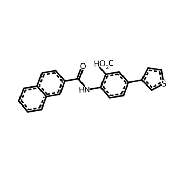 O=C(Nc1ccc(-c2ccsc2)cc1C(=O)O)c1ccc2ccccc2c1